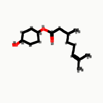 CC(C)=CCCC(C)CC(=O)OC1CCC(O)CC1